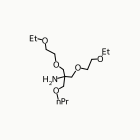 CCCOCC(N)(COCCOCC)COCCOCC